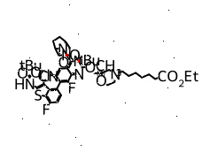 CCOC(=O)CCCCCCN1CCO[C@@](C)(COc2nc(N3CC4CCC(C3)N4C(=O)OC(C)(C)C)c3cc(Cl)c(-c4ccc(F)c5sc(NC(=O)OC(C)(C)C)c(C#N)c45)c(F)c3n2)C1